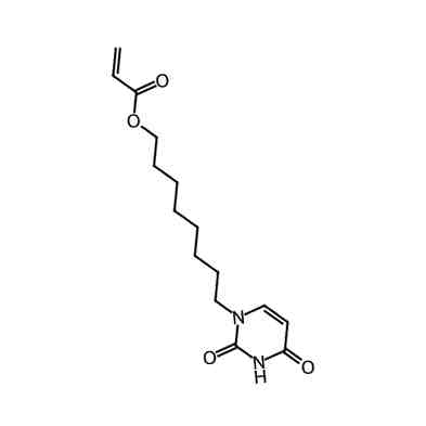 C=CC(=O)OCCCCCCCCn1ccc(=O)[nH]c1=O